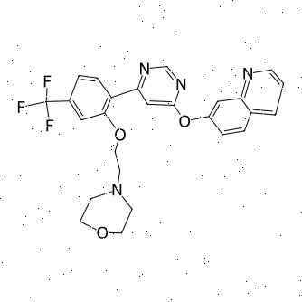 FC(F)(F)c1ccc(-c2cc(Oc3ccc4cccnc4c3)ncn2)c(OCCN2CCOCC2)c1